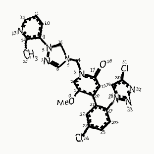 COc1cn(CN2C=NN(c3cccnc3C)C2)c(=O)cc1-c1cc(Cl)ccc1-n1cc(Cl)nn1